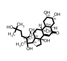 COC(CCC(C)(C)O)[C@](C)(O)[C@H]1CC[C@@]2(O)C3=CC(=O)[C@@H]4C[C@@H](O)[C@@H](O)C[C@]4(C)[C@H]3CC[C@]12C